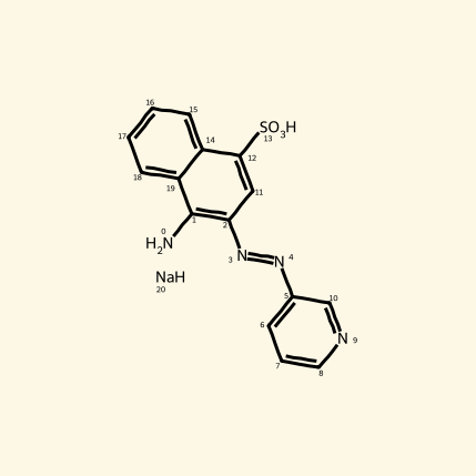 Nc1c(N=Nc2cccnc2)cc(S(=O)(=O)O)c2ccccc12.[NaH]